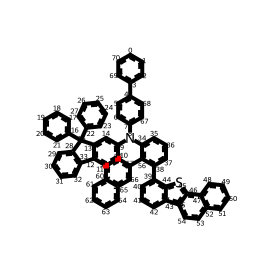 c1ccc(-c2ccc(N(c3ccc4c(c3)C(c3ccccc3)(c3ccccc3)c3ccccc3-4)c3cccc(-c4cccc5c4sc4c6ccccc6ccc54)c3-c3ccc4ccccc4c3)cc2)cc1